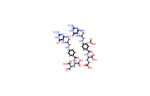 Nc1nc2c(c(=O)[nH]1)NC(CNc1ccc(C(=O)NC(CC(C=O)C(=O)O)C(=O)O)cc1)CN2.Nc1nc2c(c(=O)[nH]1)NC(CNc1ccc(C(=O)NC(CCC(=O)O)C(=O)O)cc1)CN2.O=CO